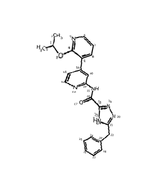 CC(C)Oc1ncccc1-c1ccnc(NC(=O)c2nnc(Cc3ccccc3)[nH]2)c1